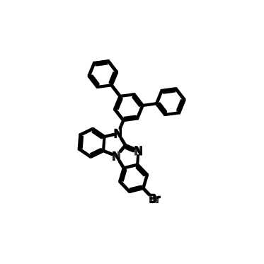 Brc1ccc2c(c1)nc1n(-c3cc(-c4ccccc4)cc(-c4ccccc4)c3)c3ccccc3n21